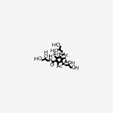 CC(=O)[N+](CC(O)CO)(C(C)=O)c1c(I)c(C(=O)NCC(O)CO)c(I)c([N+](CC(O)CO)(C(C)=O)C(C)=O)c1I